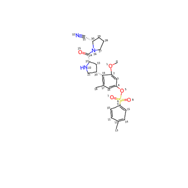 COc1cc(OS(=O)(=O)c2ccc(C)cc2)cc(C)c1[C@@H]1CN[C@H](C(=O)N2CCC[C@H]2C#N)C1